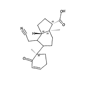 C[C@]12CCC([C@@]3(C)CCC=CC3=O)C(CC#N)[C@@H]1CC[C@@H]2C(=O)O